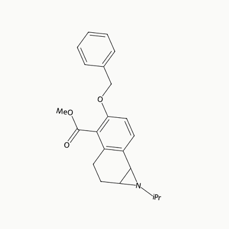 COC(=O)c1c(OCc2ccccc2)ccc2c1CCC1C2N1C(C)C